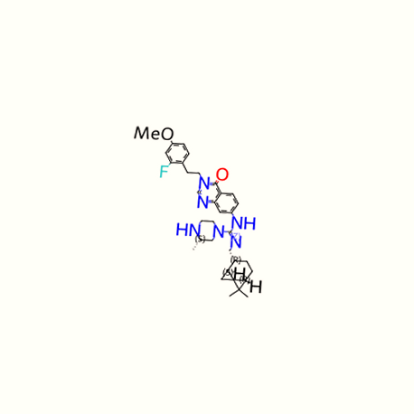 COc1ccc(CCn2cnc3cc(N/C(=N/C[C@@H]4CC[C@@H]5C(C)(C)C56C[C@@H]46)N4CCN[C@@H](C)C4)ccc3c2=O)c(F)c1